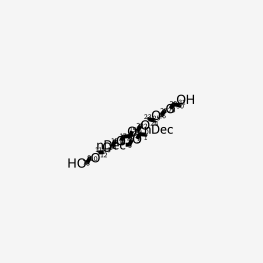 CCCCCCCCCCCCOCCCCCCCCCCCC.OCCOCCOCCOCCOCCOCCOCCOCCO